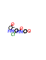 COc1ccc(NC(=O)c2ccc(NC3=C(C)C(=O)CCC3)c(Cl)c2)cc1